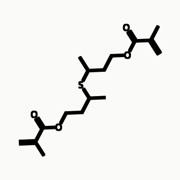 C=C(C)C(=O)OCCC(C)SC(C)CCOC(=O)C(=C)C